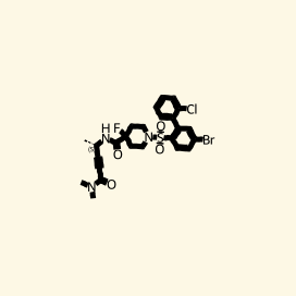 C[C@@H](C#CC(=O)N(C)C)NC(=O)C1(F)CCN(S(=O)(=O)c2ccc(Br)cc2-c2ccccc2Cl)CC1